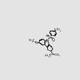 COc1ccc2c(c1)c1c(n2S(=O)(=O)c2ccc(C)cc2)CCC(N(C)C)C1